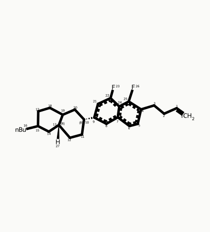 C=CCCc1ccc2cc([C@@H]3CC[C@@H]4CC(CCCC)CCC4C3)cc(F)c2c1F